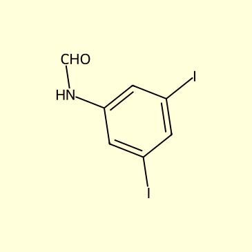 O=CNc1cc(I)cc(I)c1